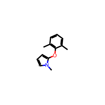 Cc1cccc(C)c1Oc1cc[c]n1C